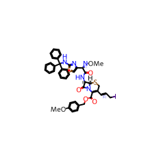 CO/N=C(\C(=O)N[C@@H]1C(=O)N2C(C(=O)OCc3ccc(OC)cc3)=C(/C=C/CI)CS[C@@H]12)c1csc(NC(c2ccccc2)(c2ccccc2)c2ccccc2)n1